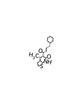 Cc1c(C(=O)C=CCc2ccccc2)c(=O)[nH]c2sccc12